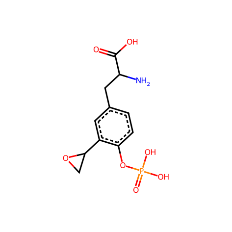 NC(Cc1ccc(OP(=O)(O)O)c(C2CO2)c1)C(=O)O